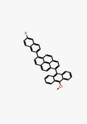 COc1c2ccccc2c(-c2ccc3ccc4c(-c5ccc6cc(F)ccc6c5)ccc5ccc2c3c54)c2ccccc12